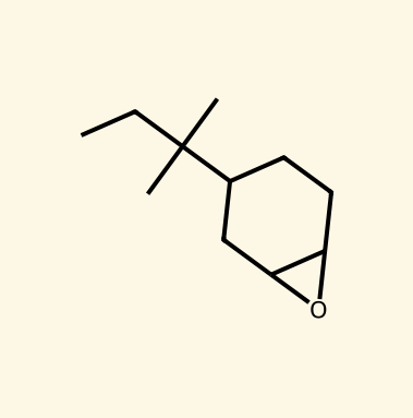 CCC(C)(C)C1CCC2OC2C1